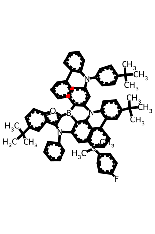 CC(C)(C)c1ccc(N(c2ccc3c(c2)N(c2ccc(C(C)(C)C)cc2-c2ccccc2)c2cc(S(C)(C)c4ccc(F)cc4)cc4c2B3c2oc3ccc(C(C)(C)C)cc3c2N4c2ccccc2)c2ccccc2-c2ccccc2)cc1